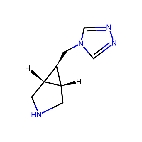 c1nncn1C[C@H]1[C@@H]2CNC[C@@H]21